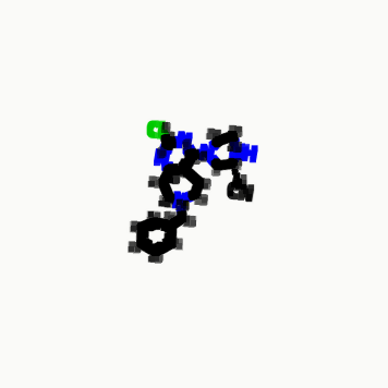 N#CC[C@@H]1CN(c2nc(Cl)nc3c2CCN(Cc2ccccc2)CC3)CCN1